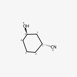 N#C[C@@H]1CCC[C@@H](O)C1